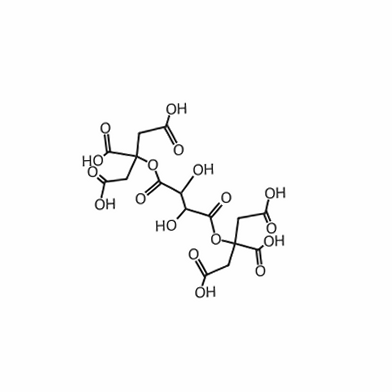 O=C(O)CC(CC(=O)O)(OC(=O)C(O)C(O)C(=O)OC(CC(=O)O)(CC(=O)O)C(=O)O)C(=O)O